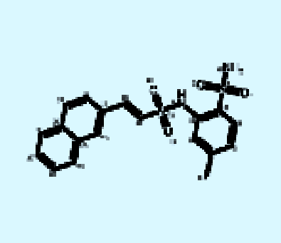 NS(=O)(=O)c1ccc(F)cc1NS(=O)(=O)C=Cc1ccc2ccccc2c1